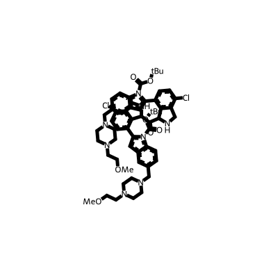 COCCN1CCN(Cc2ccc3c(c2)cc(-c2ccc(Cl)c4c2C(C(=O)C2NCc5c(Cl)ccc(-c6cc7cc(CN8CCN(CCOC)CC8)ccc7n6C(=O)OC(C)(C)C)c52)NC4)n3C(=O)OC(C)(C)C)CC1